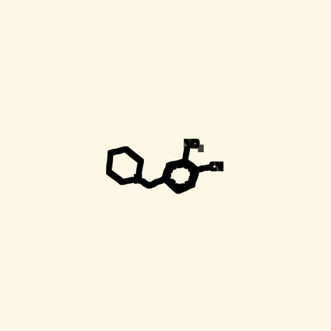 N#Cc1ccc(CN2CCCCC2)cc1[N+](=O)[O-]